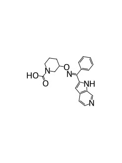 O=C(O)N1CCCC(ON=C(c2ccccc2)c2cc3ccncc3[nH]2)C1